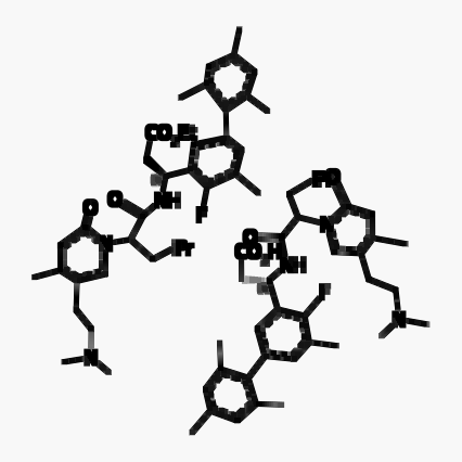 CCOC(=O)C[C@H](NC(=O)C(CC(C)C)n1cc(CCN(C)C)c(C)cc1=O)c1cc(-c2c(C)cc(C)cc2C)cc(C)c1F.Cc1cc(C)c(-c2cc(C)c(F)c([C@H](CC(=O)O)NC(=O)C(CC(C)C)n3cc(CCN(C)C)c(C)cc3=O)c2)c(C)c1